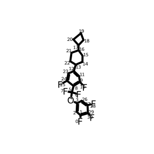 Fc1cc(OC(F)(F)c2c(F)cc(C3CCC(C4CCC4)CC3)cc2F)cc(F)c1F